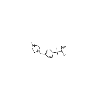 C=NC(=O)C(C)(C)c1ccc(CN2CCN(C)CC2)cc1